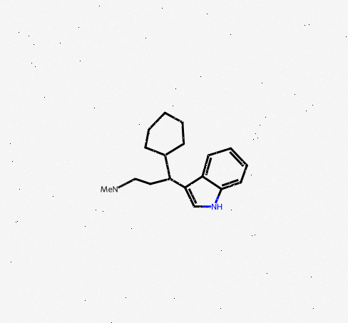 CNCCC(c1c[nH]c2ccccc12)C1CCCCC1